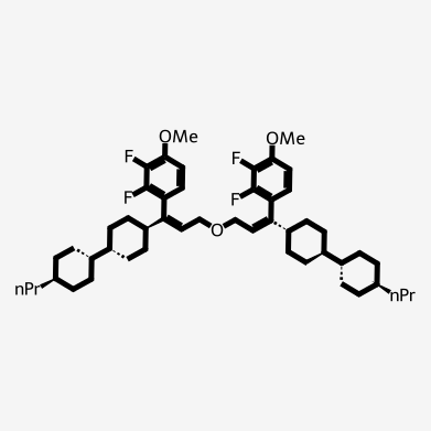 CCC[C@H]1CC[C@H]([C@H]2CC[C@H](C(=CCOCC=C(c3ccc(OC)c(F)c3F)[C@H]3CC[C@H]([C@H]4CC[C@H](CCC)CC4)CC3)c3ccc(OC)c(F)c3F)CC2)CC1